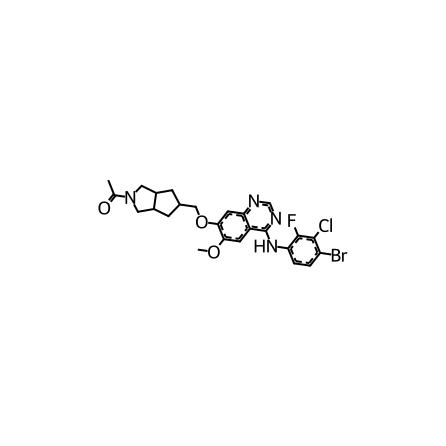 COc1cc2c(Nc3ccc(Br)c(Cl)c3F)ncnc2cc1OCC1CC2CN(C(C)=O)CC2C1